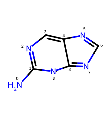 NC1=NC=C2N=CN=C2[N]1